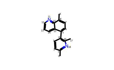 Cc1ccc(-c2ccc(C)c3ncccc23)c(C)n1